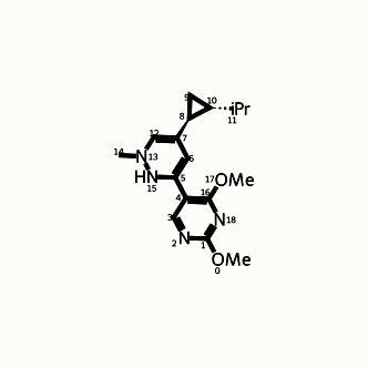 COc1ncc(C2=CC([C@H]3C[C@@H]3C(C)C)=CN(C)N2)c(OC)n1